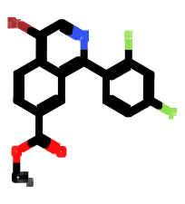 COC(=O)c1ccc2c(Br)cnc(-c3ccc(F)cc3F)c2c1